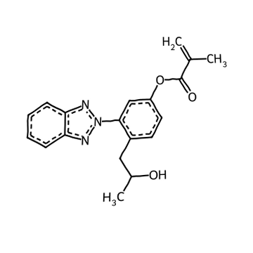 C=C(C)C(=O)Oc1ccc(CC(C)O)c(-n2nc3ccccc3n2)c1